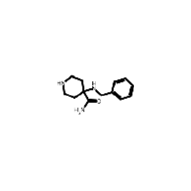 NC(=O)C1(NCc2ccccc2)CCNCC1